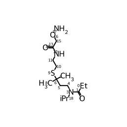 CCC(=O)N(CCC(C)(C)SCCNC(=O)CON)C(C)C